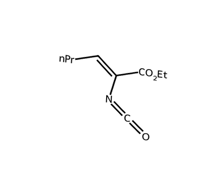 CCC/C=C(\N=C=O)C(=O)OCC